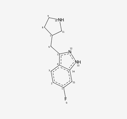 Fc1ccc2c(CC3CCNC3)n[nH]c2c1